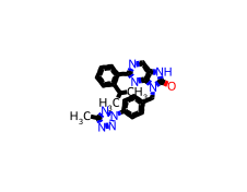 Cc1nnn(-c2ccc(Cn3c(=O)[nH]c4cnc(-c5ccccc5C(C)C)nc43)cc2)n1